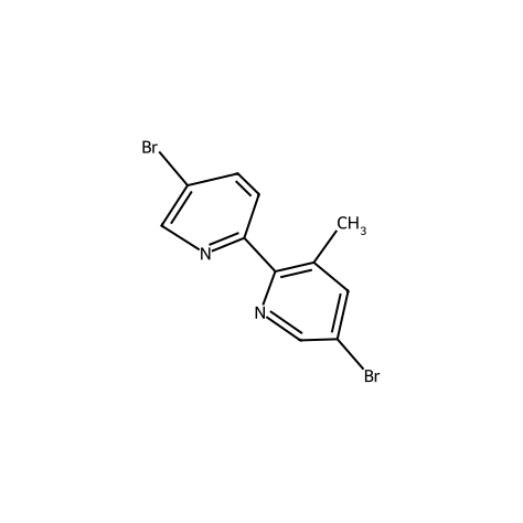 Cc1cc(Br)cnc1-c1ccc(Br)cn1